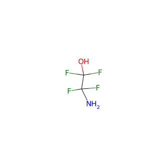 NC(F)(F)C(O)(F)F